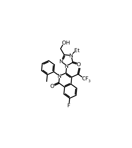 C=C(c1c(-n2nc(CO)n(CC)c2=O)n(-c2ccccc2C)c(=O)c2cc(F)ccc12)C(F)(F)F